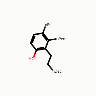 CCCCCCCCCCCCc1c(O)ccc(CCC)c1CCCCC